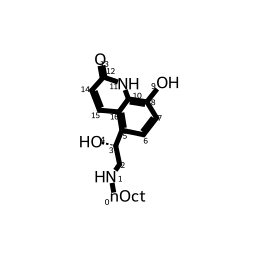 [CH2]CCCCCCCNC[C@H](O)c1ccc(O)c2[nH]c(=O)ccc12